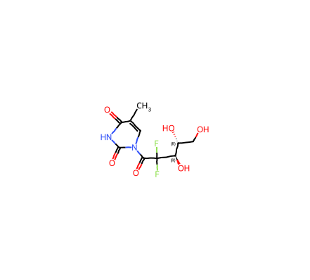 Cc1cn(C(=O)C(F)(F)[C@H](O)[C@H](O)CO)c(=O)[nH]c1=O